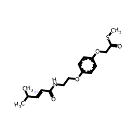 CSC(=O)COc1ccc(OCCNC(=O)/C=C/C(C)C)cc1